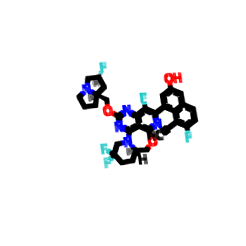 C#Cc1c(F)ccc2cc(O)cc(-c3nc4c5c(nc(OC[C@@]67CCCN6C[C@H](F)C7)nc5c3F)N3CC(F)(F)CC[C@H]3CO4)c12